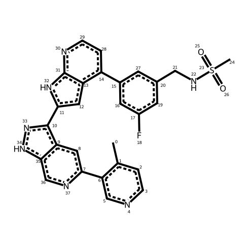 Cc1ccncc1-c1cc2c(-c3cc4c(-c5cc(F)cc(CNS(C)(=O)=O)c5)ccnc4[nH]3)n[nH]c2cn1